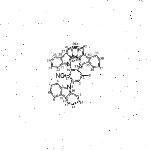 Cc1cc(-n2c3ccccc3c3ccccc32)c(C#N)c(-n2c3ccccc3c3ccccc32)c1-n1c2ccccc2c2ccccc21